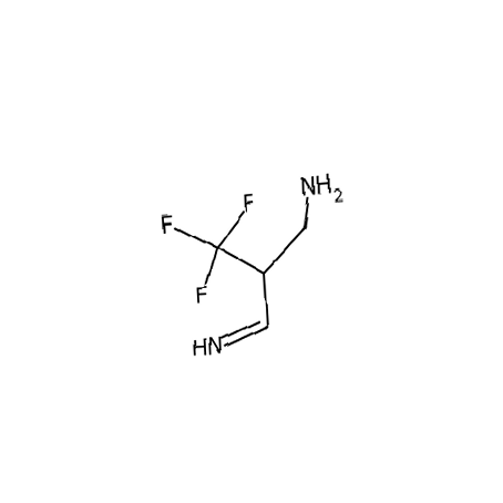 N=CC(CN)C(F)(F)F